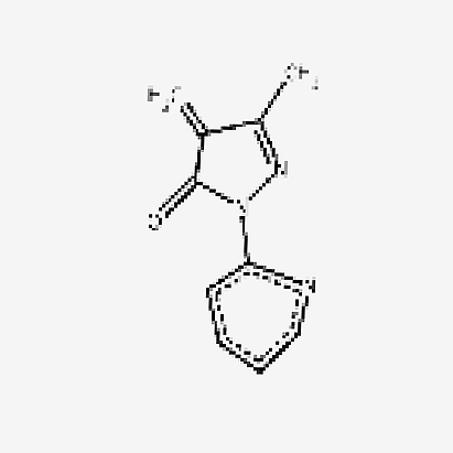 C=C1C(=O)N(c2ccccn2)N=C1C